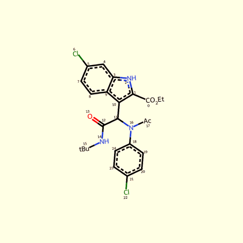 CCOC(=O)c1[nH]c2cc(Cl)ccc2c1C(C(=O)NC(C)(C)C)N(C(C)=O)c1ccc(Cl)cc1